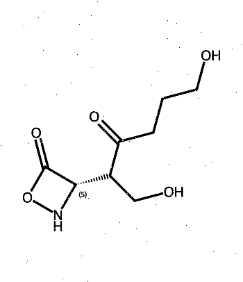 O=C(CCCO)C(CO)[C@@H]1NOC1=O